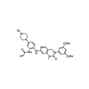 C=CC(=O)Nc1cc(N2CCN(CC)CC2)ccc1Nc1cc2c(cn1)CN(c1cc(OC)cc(OC)c1)C(=O)N2C